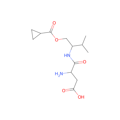 CC(C)C(COC(=O)C1CC1)NC(=O)C(N)CC(=O)O